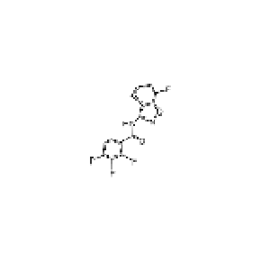 O=C(Nc1noc2c(F)cccc12)c1ccc(F)c(F)c1F